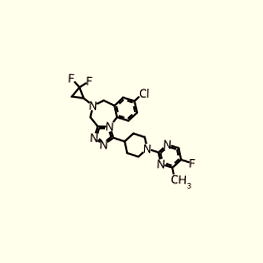 Cc1nc(N2CCC(c3nnc4n3-c3ccc(Cl)cc3CN(C3CC3(F)F)C4)CC2)ncc1F